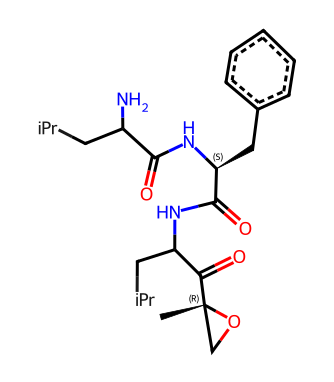 CC(C)CC(N)C(=O)N[C@@H](Cc1ccccc1)C(=O)NC(CC(C)C)C(=O)[C@@]1(C)CO1